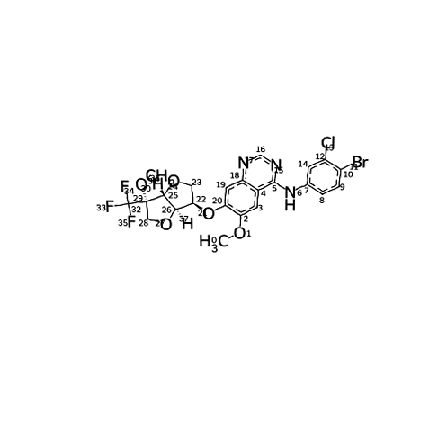 COc1cc2c(Nc3ccc(Br)c(Cl)c3)ncnc2cc1O[C@@H]1CO[C@@H]2[C@@H]1OC[C@@]2(OC)C(F)(F)F